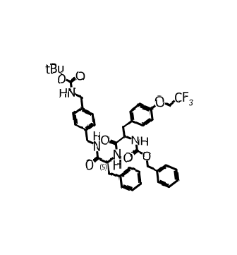 CC(C)(C)OC(=O)NCc1ccc(CNC(=O)[C@H](Cc2ccccc2)NC(=O)C(Cc2ccc(OCC(F)(F)F)cc2)NC(=O)OCc2ccccc2)cc1